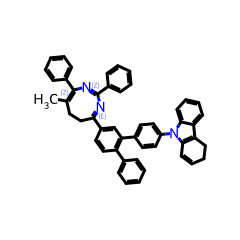 C/C1=C(c2ccccc2)/N=C(c2ccccc2)\N=C(\c2ccc(-c3ccccc3)c(-c3ccc(-n4c5c(c6ccccc64)CCC=C5)cc3)c2)CC1